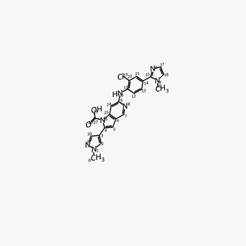 Cn1cc(-c2cc3cnc(Nc4ccc(-c5nccn5C)cc4Cl)cc3n2C(=O)O)cn1